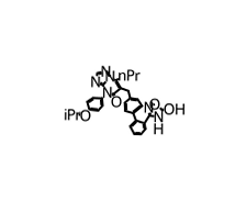 CCCc1c(Cc2ccc(-c3ccccc3C3=NOC(O)N3)cc2)c(=O)n(-c2ccc(OC(C)C)cc2)c2ncnn12